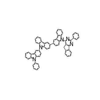 c1ccc(-c2nc3c(c(-n4c5ccccc5c5cc(-c6ccc7c(c6)c6ccccc6n7-c6ccc7c(c6)c6ccccc6n7-c6ccccc6)ccc54)n2)Cc2ccccc2-3)cc1